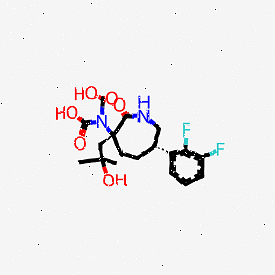 CC(C)(O)C[C@]1(N(C(=O)O)C(=O)O)CC[C@@H](c2cccc(F)c2F)CNC1=O